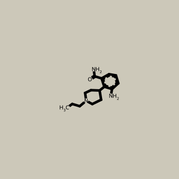 CCCN1CCC(c2c(N)cccc2C(N)=O)CC1